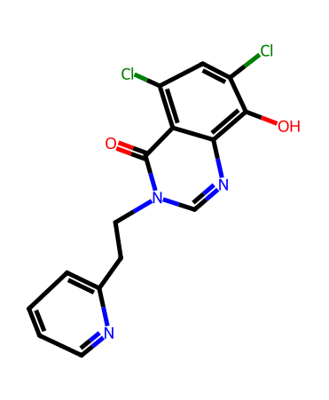 O=c1c2c(Cl)cc(Cl)c(O)c2ncn1CCc1ccccn1